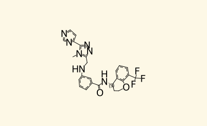 Cn1c(CNc2cccc(C(=O)N[C@H]3CCOc4c3cccc4C(F)(F)F)c2)nnc1-c1ccncn1